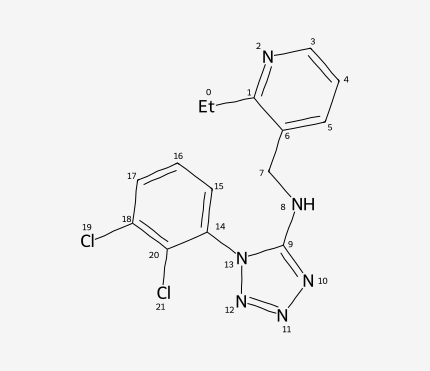 CCc1ncccc1CNc1nnnn1-c1cccc(Cl)c1Cl